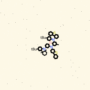 Cc1cc2c3c(c1)N(c1cccc4sc5ccccc5c14)c1ccc(C(C)(C)C)cc1B3c1ccc(N3c4ccc(C(C)(C)C)cc4C4(C)CCCCC34C)cc1N2c1ccc2c(c1)sc1ccccc12